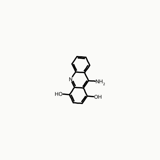 Nc1c2ccccc2nc2c(O)ccc(O)c12